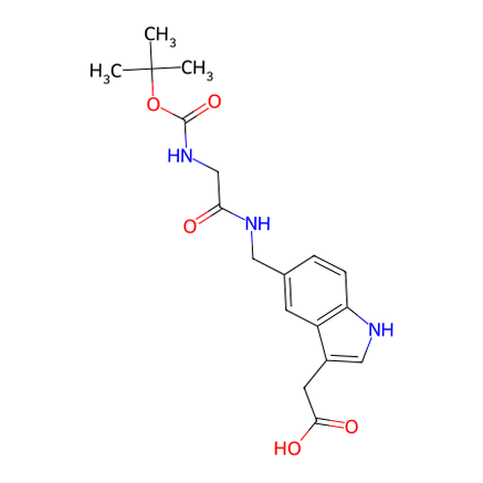 CC(C)(C)OC(=O)NCC(=O)NCc1ccc2[nH]cc(CC(=O)O)c2c1